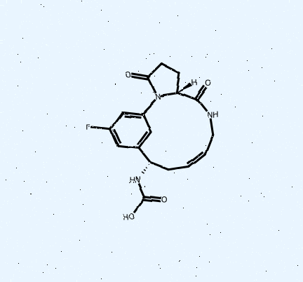 O=C(O)N[C@H]1CC=CCNC(=O)[C@H]2CCC(=O)N2c2cc(F)cc1c2